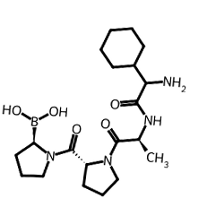 C[C@H](NC(=O)C(N)C1CCCCC1)C(=O)N1CCC[C@@H]1C(=O)N1CCC[C@H]1B(O)O